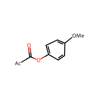 COc1ccc(OC(=O)C(C)=O)cc1